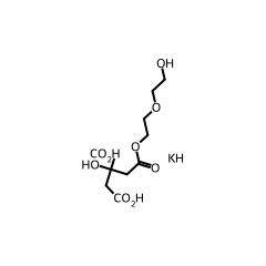 O=C(O)CC(O)(CC(=O)OCCOCCO)C(=O)O.[KH]